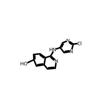 Oc1ccc2c(Nc3cnc(Cl)nc3)nccc2c1